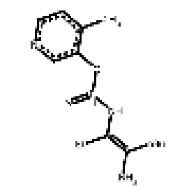 CCCC/C(N)=C(/CC)N[PH](=S)Oc1cnccc1C